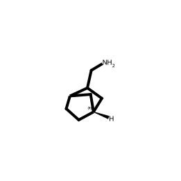 NCC1C[C@@H]2CCC1C2